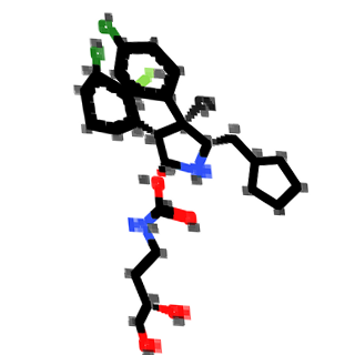 N#C[C@]1(c2ccc(Cl)cc2)[C@H](CC2CCCC2)N[C@H](OC(=O)NCC[C@H](O)CO)[C@@H]1c1cccc(Cl)c1F